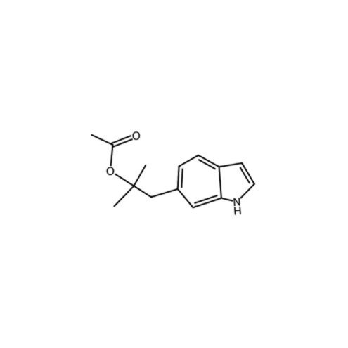 CC(=O)OC(C)(C)Cc1ccc2cc[nH]c2c1